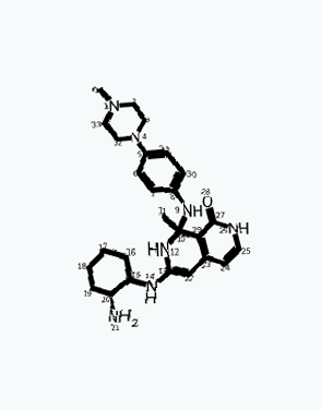 CN1CCN(c2ccc(NC3(C)NC(NC4CCCC[C@@H]4N)=Cc4cc[nH]c(=O)c43)cc2)CC1